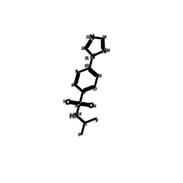 CC(C)NS(=O)(=O)c1ccc(-n2cncn2)cc1